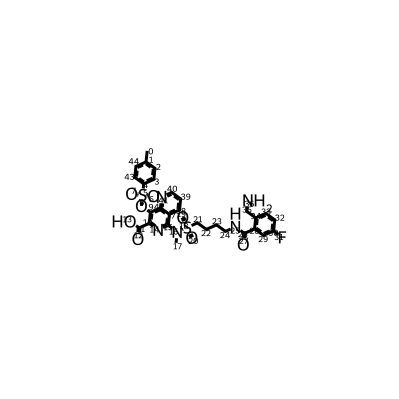 Cc1ccc(S(=O)(=O)Oc2c(C(=O)O)nc(N(C)S(=O)(=O)CCCCNC(=O)c3cc(F)ccc3CN)c3cccnc23)cc1